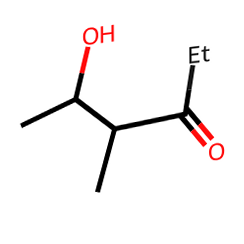 CCC(=O)C(C)C(C)O